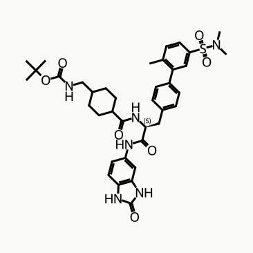 Cc1ccc(S(=O)(=O)N(C)C)cc1-c1ccc(C[C@H](NC(=O)C2CCC(CNC(=O)OC(C)(C)C)CC2)C(=O)Nc2ccc3[nH]c(=O)[nH]c3c2)cc1